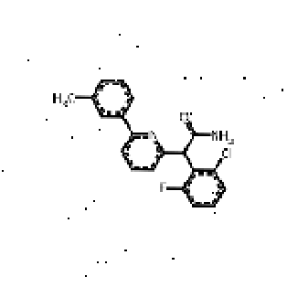 Cc1cccc(-c2cccc(C(C(N)=O)c3c(F)cccc3Cl)n2)c1